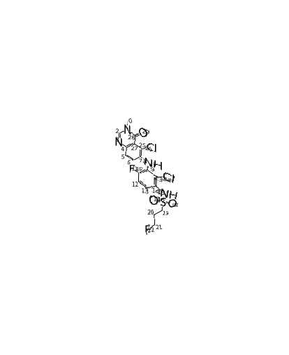 Cn1cnc2ccc(Nc3c(F)ccc(NS(=O)(=O)CCCF)c3Cl)c(Cl)c2c1=O